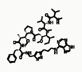 CC[C@H](C)C([C@@H](CC(=O)N1CCC[C@H]1[C@H](OC)[C@@H](C)C(=O)N[C@@H](Cc1ccccc1)C(=O)NCc1cn(CCCNc2ncnc3[nH]cnc23)nn1)OC)N(C)C(=O)[C@@H](NC(=O)C(NC)C(C)C)C(C)C